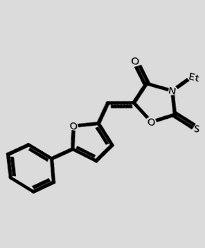 CCN1C(=O)/C(=C/c2ccc(-c3ccccc3)o2)OC1=S